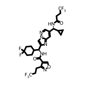 O=C(CCC(F)(F)F)N[C@@H](c1cnn2cc([C@@H](NC(=O)c3conc3CCC(F)(F)F)C3CCC(F)(F)CC3)nc2c1)C1CC1